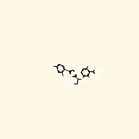 NC(=O)c1c(F)ccc(OC(CO)c2nc(-c3ccc(F)cc3F)co2)c1F